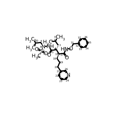 CC(C)C[C@@H](C(=O)NN(CC(C)C)S(C)(=O)=O)[C@H](CCCc1cccnc1)C(=O)NOCc1ccccc1